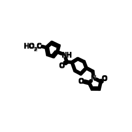 O=C(O)c1ccc(NC(=O)C2CCC(CN3C(=O)C=CC3=O)CC2)cc1